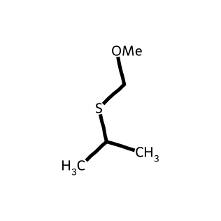 COCSC(C)C